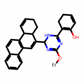 CCOC1=NC(C2=Cc3c(ccc4ccccc34)C3C=CCCC23)NC(C2=C(O)C=CCC2)=N1